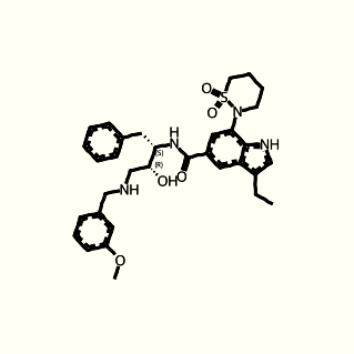 CCc1c[nH]c2c(N3CCCCS3(=O)=O)cc(C(=O)N[C@@H](Cc3ccccc3)[C@H](O)CNCc3cccc(OC)c3)cc12